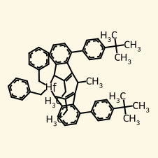 CCC1=C2c3c(-c4ccc(C(C)(C)C)cc4)cccc3[CH]1[Hf]([CH2]c1ccccc1)([CH2]c1ccccc1)[CH]1C(CC)=C(c3c(-c4ccc(C(C)(C)C)cc4)cccc31)C2C